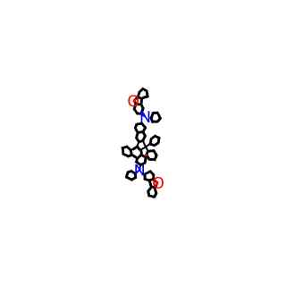 c1ccc(N(c2ccc3cc4c(cc3c2)C(c2ccccc2)(c2ccccc2)c2c-4c3ccccc3c3cc(N(c4ccccc4)c4ccc5oc6ccccc6c5c4)ccc23)c2ccc3oc4ccccc4c3c2)cc1